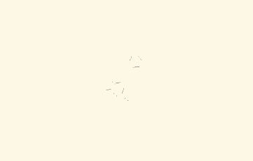 O=c1nc(OCc2cc(F)c(F)c(F)c2)cc2n1CC[C@@H]1COCCN21